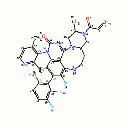 C=CC(=O)N1CC2CCNc3c(F)c(-c4c(O)ccc(F)c4F)cc4c3c(nc(=O)n4-c3c(C)ccnc3C(C)C)N2CC1C